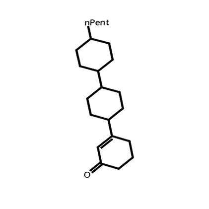 CCCCCC1CCC(C2CCC(C3=CC(=O)CCC3)CC2)CC1